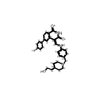 O=C1NC(=O)c2ccc(-c3ccc(F)cc3)cc2C1=CNc1ccc(CN2CCC(CCO)CC2)cc1